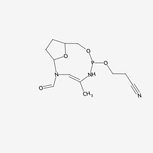 C/C1=C\N(C=O)C2CCC(COP(OCCC#N)N1)O2